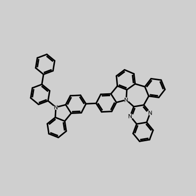 c1ccc(-c2cccc(-n3c4ccccc4c4cc(-c5ccc6c(c5)c5cccc7c5n6-c5nc6ccccc6nc5-c5ccccc5-7)ccc43)c2)cc1